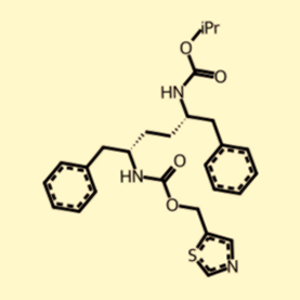 CC(C)OC(=O)N[C@@H](CC[C@@H](Cc1ccccc1)NC(=O)OCc1cncs1)Cc1ccccc1